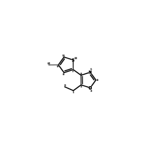 CCc1ocnc1-c1cc(C)cs1